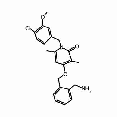 COc1cc(Cn2c(C)cc(OCc3ccccc3CN)c(C)c2=O)ccc1Cl